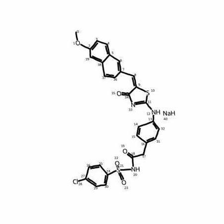 COc1ccc2cc(C=C3SC(Nc4ccc(CC(=O)NS(=O)(=O)c5ccc(Cl)cc5)cc4)=NC3=O)ccc2c1.[NaH]